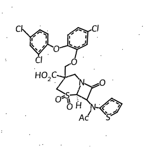 CC(=O)N(c1cccs1)C1C(=O)N2CC(COc3cc(Cl)ccc3Oc3ccc(Cl)cc3Cl)(C(=O)O)CS(=O)(=O)[C@H]12